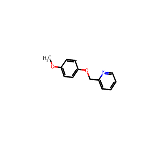 COc1c[c]c(OCc2ccccn2)cc1